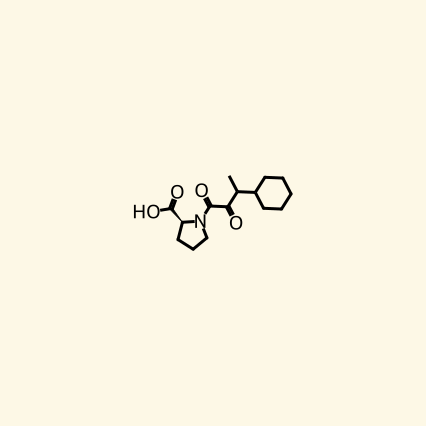 CC(C(=O)C(=O)N1CCC[C@H]1C(=O)O)C1CCCCC1